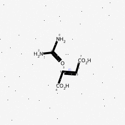 NC(N)=O.O=C(O)/C=C/C(=O)O